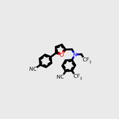 N#Cc1ccc(-c2ccc(CN(CC(F)(F)F)c3ccc(C#N)c(C(F)(F)F)c3)o2)cc1